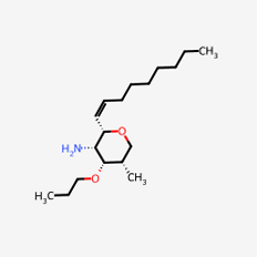 CCCCCCC/C=C\[C@@H]1OC[C@H](C)[C@H](OCCC)[C@@H]1N